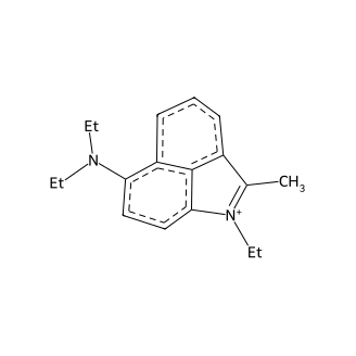 CCN(CC)c1ccc2c3c(cccc13)C(C)=[N+]2CC